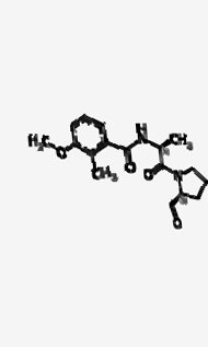 COc1cccc(C(=O)N[C@@H](C)C(=O)N2CCC[C@H]2C=O)c1C